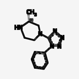 C[C@@H]1CN(c2nnnn2-c2ccccc2)CCN1